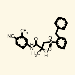 CC(O)(CS(=O)(=O)c1ccccc1Cc1ccccc1)C(=O)Nc1ccc(C#N)c(C(F)(F)F)c1